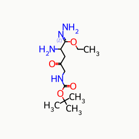 CCO/C(=N\N)C(N)CC(=O)CNC(=O)OC(C)(C)C